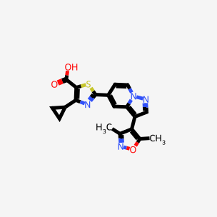 Cc1noc(C)c1-c1cnn2ccc(-c3nc(C4CC4)c(C(=O)O)s3)cc12